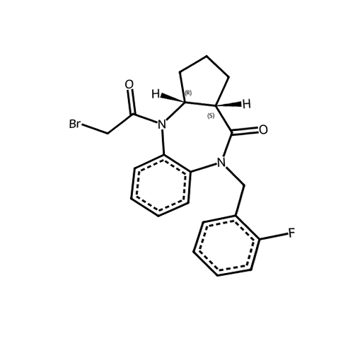 O=C1[C@H]2CCC[C@H]2N(C(=O)CBr)c2ccccc2N1Cc1ccccc1F